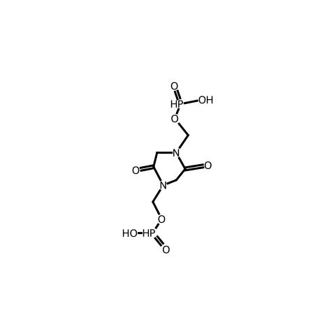 O=C1CN(CO[PH](=O)O)C(=O)CN1CO[PH](=O)O